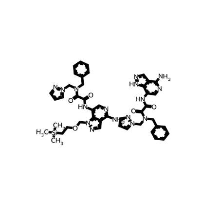 C[Si](C)(C)CCOCn1ncc2c(N)ncc(NC(=O)C(=O)N(Cc3ccccc3)Cn3cccn3)c21.Nc1ncc(NC(=O)C(=O)N(Cc2ccccc2)Cn2cccn2)c2[nH]ncc12